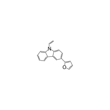 C=Cn1c2ccccc2c2cc(-c3ccco3)ccc21